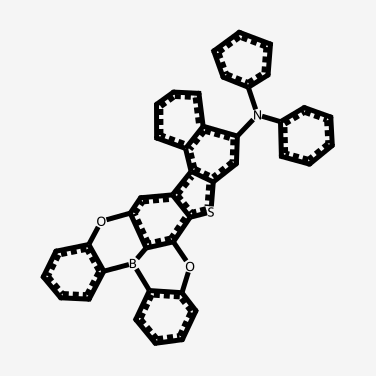 c1ccc(N(c2ccccc2)c2cc3sc4c5c6c(cc4c3c3ccccc23)Oc2ccccc2B6c2ccccc2O5)cc1